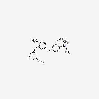 C/C=C(/C)c1ccc(Cc2ccc(C)c(CN(CC)CCC)c2)cc1CC